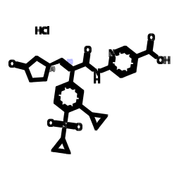 Cl.O=C1CC[C@H](/C=C(/C(=O)Nc2ccc(C(=O)O)cn2)c2ccc(S(=O)(=O)C3CC3)c(C3CC3)c2)C1